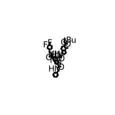 Cc1c(C(=O)OC(C)(C)C)ccc2c1CC[C@@H]2NC(=O)c1cc(C(=O)NCc2ccc(F)c(F)c2)nc2cc(C(=O)NCc3ccccc3)nn12